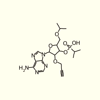 C#CCOC1C(OP(=O)(O)C(C)C)C(COC(C)C)OC1n1cnc2c(N)ncnc21